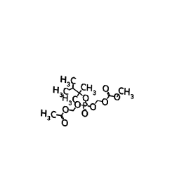 COC(=O)OCOP(=O)(OCOC(C)=O)OC(C)(C)C(C)C